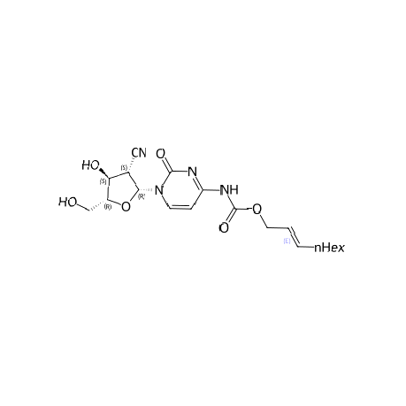 CCCCCC/C=C/COC(=O)Nc1ccn([C@@H]2O[C@H](CO)[C@@H](O)[C@@H]2C#N)c(=O)n1